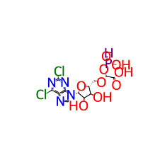 O=C(O)C(OC[C@H]1O[C@@H](n2cnc3c(Cl)nc(Cl)nc32)[C@H](O)[C@@H]1O)O[PH](=O)O